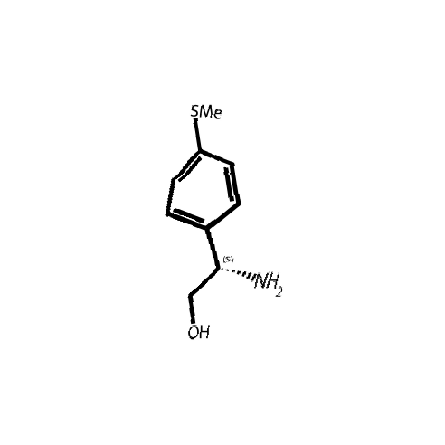 CSc1ccc([C@H](N)CO)cc1